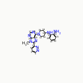 Cn1c(-c2cccnn2)nc2c(N3CCC(Nc4ccccc4N)CC3)ncnc21